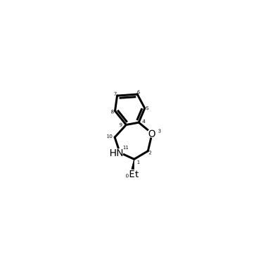 CC[C@@H]1COc2ccccc2CN1